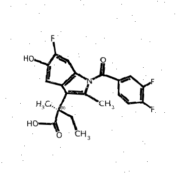 CC[C@@](C)(C(=O)O)c1c(C)n(C(=O)c2ccc(F)c(F)c2)c2cc(F)c(O)cc12